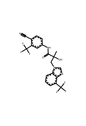 CC(O)(Cn1cnc2c(C(F)(F)F)cccc21)C(=O)Nc1ccc(C#N)c(C(F)(F)F)c1